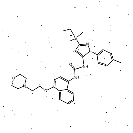 CC[Si](C)(C)c1cc(NC(=O)Nc2ccc(OCCN3CCOCC3)c3ccccc23)n(-c2ccc(C)cc2)n1